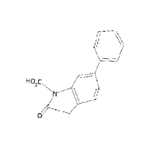 O=C(O)N1C(=O)Cc2ccc(-c3ccccc3)cc21